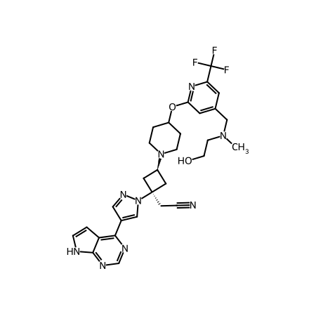 CN(CCO)Cc1cc(OC2CCN([C@H]3C[C@@](CC#N)(n4cc(-c5ncnc6[nH]ccc56)cn4)C3)CC2)nc(C(F)(F)F)c1